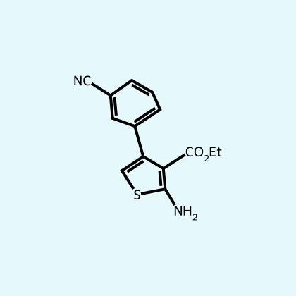 CCOC(=O)c1c(-c2cccc(C#N)c2)csc1N